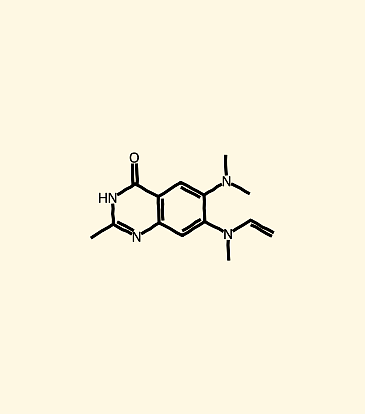 C=CN(C)c1cc2nc(C)[nH]c(=O)c2cc1N(C)C